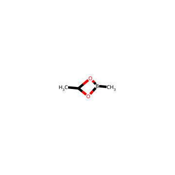 CB1OC(C)O1